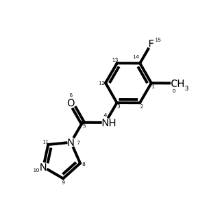 Cc1cc(NC(=O)n2ccnc2)ccc1F